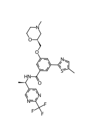 Cc1cnc(-c2cc(OC[C@@H]3CN(C)CCO3)cc(C(=O)N[C@H](C)c3cnc(C(F)(F)F)nc3)c2)s1